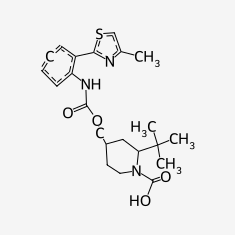 Cc1csc(-c2ccccc2NC(=O)OCC2CCN(C(=O)O)C(C(C)(C)C)C2)n1